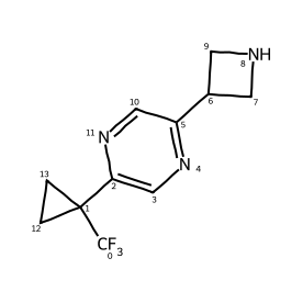 FC(F)(F)C1(c2cnc(C3CNC3)cn2)CC1